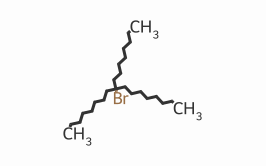 CCCCCCCCC(Br)(CCCCCCCC)CCCCCCCC